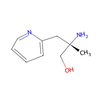 C[C@@](N)(CO)Cc1ccccn1